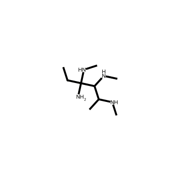 CCC(N)(NC)C(NC)C(C)NC